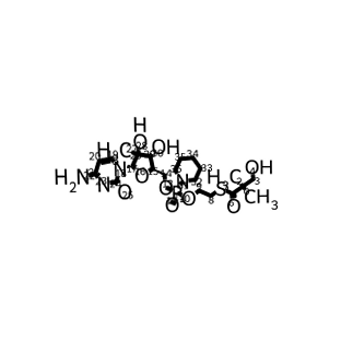 CC(C)(CO)C(=O)SCCOP(=O)(OC[C@H]1O[C@H](n2ccc(N)nc2=O)C(C)(O)C1O)N1CCCCC1